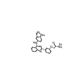 CCNC(=O)COc1cccc(-c2nc(Nc3ccc4[nH]ncc4c3)c3ccccc3n2)c1